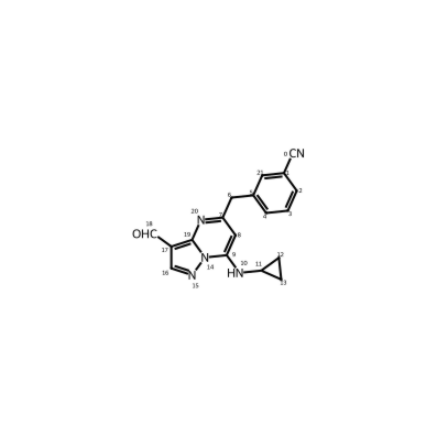 N#Cc1cccc(Cc2cc(NC3CC3)n3ncc(C=O)c3n2)c1